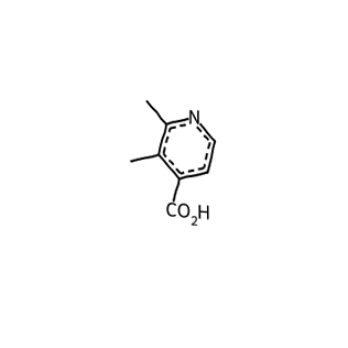 Cc1nccc(C(=O)O)c1C